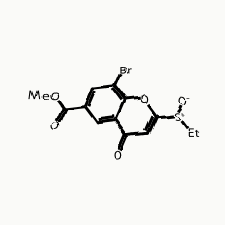 CC[S+]([O-])c1cc(=O)c2cc(C(=O)OC)cc(Br)c2o1